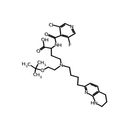 CC(C)(C)OCCN(CCCCc1ccc2c(n1)NCCC2)CCC(NC(=O)c1c(F)cncc1Cl)C(=O)O